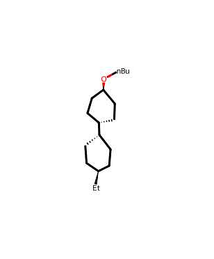 CCCCO[C@H]1CC[C@H]([C@H]2CC[C@H](CC)CC2)CC1